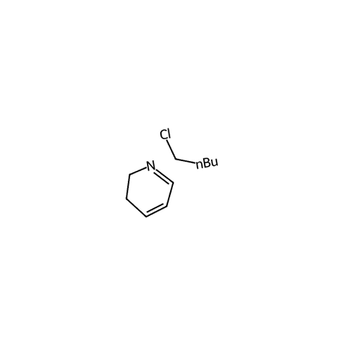 C1=CCCN=C1.CCCCCCl